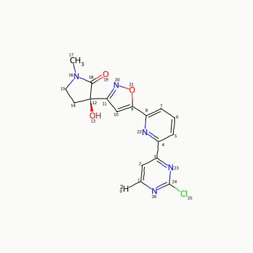 [2H]c1cc(-c2cccc(-c3cc([C@]4(O)CCN(C)C4=O)no3)n2)nc(Cl)n1